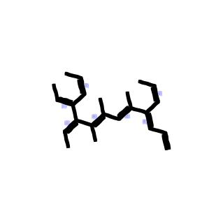 C=C/C=C(\C=C/C)C(/C)=C/C(C)=C(C)/C(=C\C)C(/C=C\C)=C/C